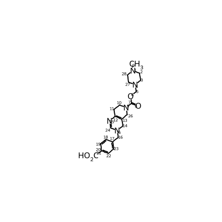 CN1CCN(COC(=O)N2CCC3=C(CN(Cc4ccc(C(=O)O)cc4)C=N3)C2)CC1